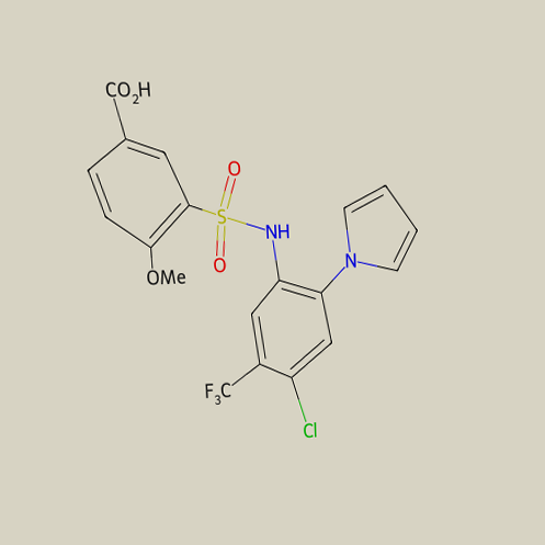 COc1ccc(C(=O)O)cc1S(=O)(=O)Nc1cc(C(F)(F)F)c(Cl)cc1-n1cccc1